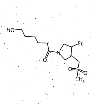 CCC1CN(C(=O)CCCCCO)CC1CS(C)(=O)=O